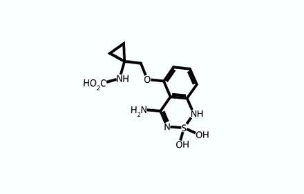 NC1=NS(O)(O)Nc2cccc(OCC3(NC(=O)O)CC3)c21